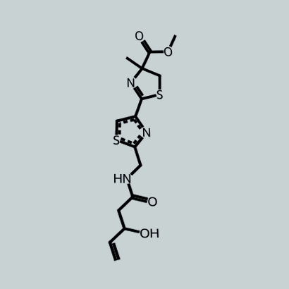 C=CC(O)CC(=O)NCc1nc(C2=NC(C)(C(=O)OC)CS2)cs1